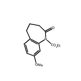 CCOC(=O)N1C(=O)CCCc2ccc(OC)cc21